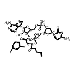 C=CCCC(=O)N[C@H](Cc1cccc(I)c1)C(=O)O[C@H]1[C@@H](O)[C@H](n2cnc3c(N)ncnc32)O[C@H]1COP(=O)(O)O[C@H]1C[C@H](n2ccc(N)nc2=O)O[C@@H]1COP(=O)(O)O